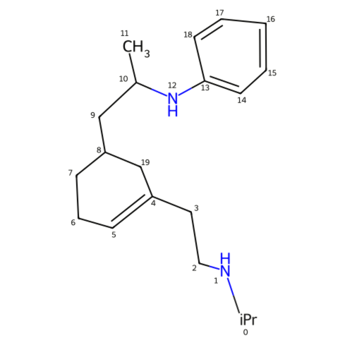 CC(C)NCCC1=CCCC(CC(C)Nc2ccccc2)C1